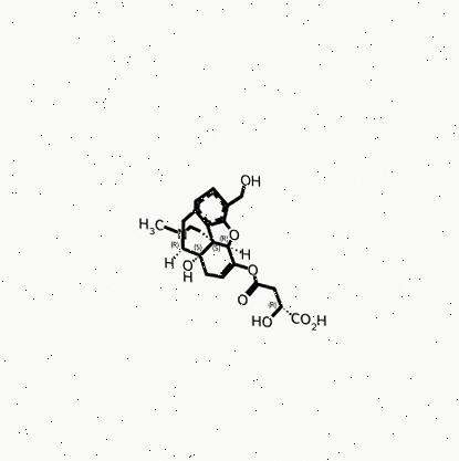 CN1CC[C@]23c4c5ccc(CO)c4O[C@H]2C(OC(=O)C[C@@H](O)C(=O)O)=CC[C@@]3(O)[C@H]1C5